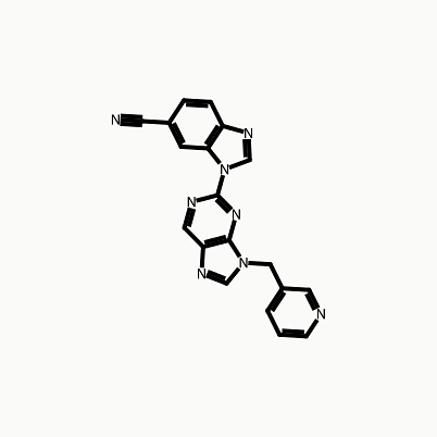 N#Cc1ccc2ncn(-c3ncc4ncn(Cc5cccnc5)c4n3)c2c1